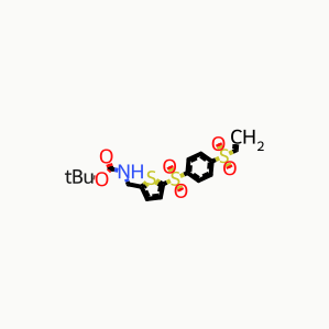 C=CS(=O)(=O)c1ccc(S(=O)(=O)c2ccc(CNC(=O)OC(C)(C)C)s2)cc1